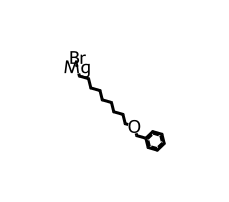 [Br][Mg][CH2]CCCCCCCCOCc1ccccc1